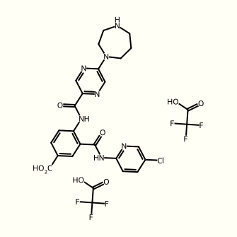 O=C(O)C(F)(F)F.O=C(O)C(F)(F)F.O=C(O)c1ccc(NC(=O)c2cnc(N3CCCNCC3)cn2)c(C(=O)Nc2ccc(Cl)cn2)c1